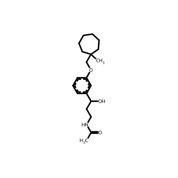 CC(=O)NCCC(O)c1cccc(OCC2(C)CCCCCC2)c1